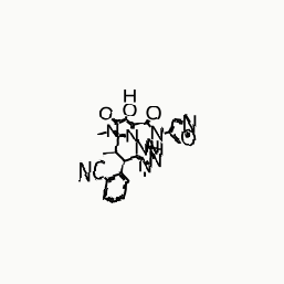 C[C@@H](c1nc(C(=O)Nc2cnoc2)c(O)c(=O)n1C)[C@H](c1ccccc1C#N)c1nnnn1C